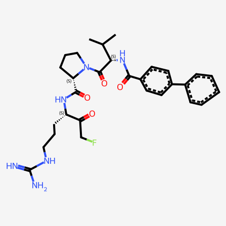 CC(C)[C@H](NC(=O)c1ccc(-c2ccccc2)cc1)C(=O)N1CCC[C@H]1C(=O)N[C@@H](CCCNC(=N)N)C(=O)CF